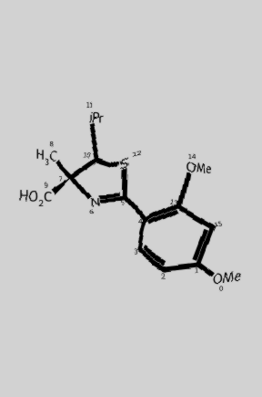 COc1ccc(C2=N[C@@](C)(C(=O)O)C(C(C)C)S2)c(OC)c1